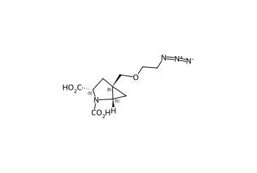 [N-]=[N+]=NCCOC[C@@]12C[C@@H]1N(C(=O)O)[C@H](C(=O)O)C2